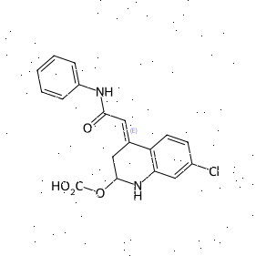 O=C(/C=C1\CC(OC(=O)O)Nc2cc(Cl)ccc21)Nc1ccccc1